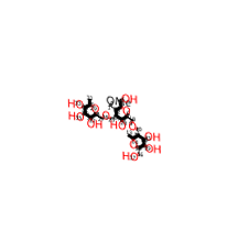 COC[C@@H]1C(CO)O[C@@H](COC[C@H]2C(C)O[C@@H](CO)C(O)[C@H]2O)C(O)[C@@H]1COC[C@@H]1OC(C)[C@@H](O)[C@H](O)C1O